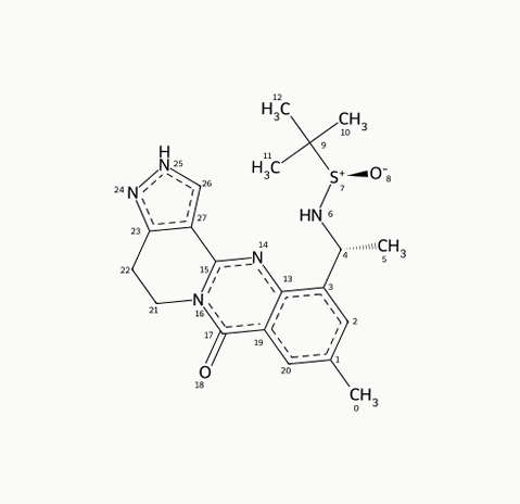 Cc1cc([C@@H](C)N[S@+]([O-])C(C)(C)C)c2nc3n(c(=O)c2c1)CCc1n[nH]cc1-3